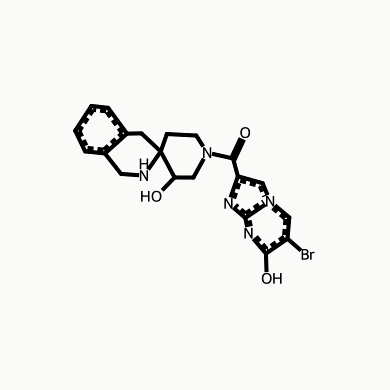 O=C(c1cn2cc(Br)c(O)nc2n1)N1CCC2(Cc3ccccc3CN2)C(O)C1